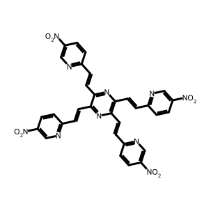 O=[N+]([O-])c1ccc(C=Cc2nc(C=Cc3ccc([N+](=O)[O-])cn3)c(C=Cc3ccc([N+](=O)[O-])cn3)nc2C=Cc2ccc([N+](=O)[O-])cn2)nc1